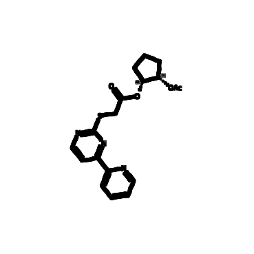 CC(=O)O[C@H]1CCC[C@H]1OC(=O)CSc1nccc(-c2ccccn2)n1